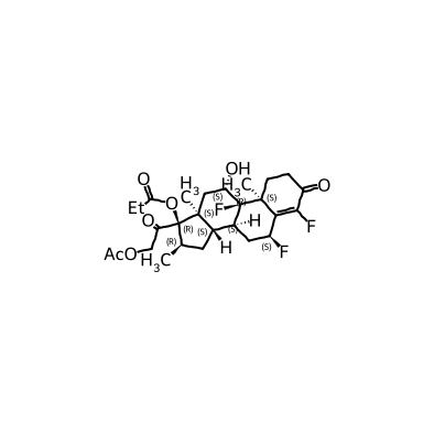 CCC(=O)O[C@]1(C(=O)COC(C)=O)[C@H](C)C[C@H]2[C@@H]3C[C@H](F)C4=C(F)C(=O)CC[C@]4(C)[C@@]3(F)[C@@H](O)C[C@@]21C